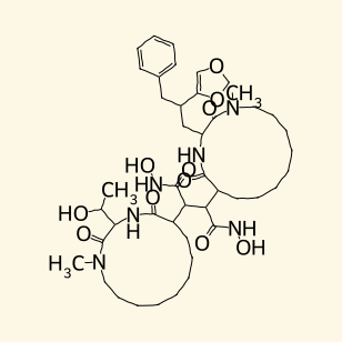 CC(O)C1NC(=O)C(C(C(=O)NO)C(C(=O)NO)C2CCCCCCCCN(C)C(=O)C(CC(Cc3ccccc3)C3=COCO3)NC2=O)CCCCCCCCN(C)C1=O